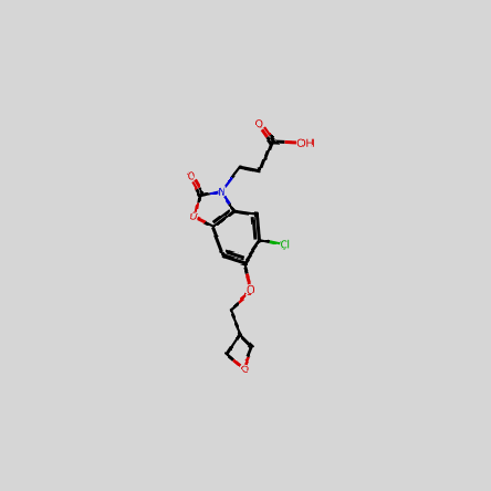 O=C(O)CCn1c(=O)oc2cc(OCC3COC3)c(Cl)cc21